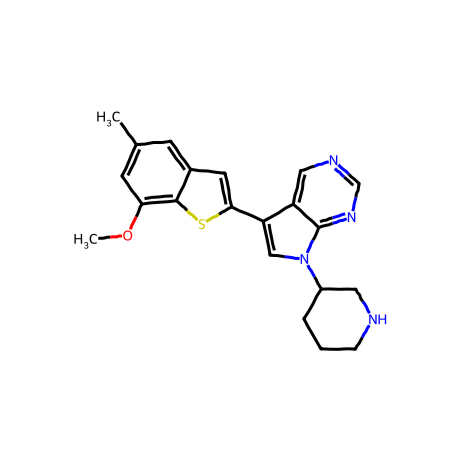 COc1cc(C)cc2cc(-c3cn(C4CCCNC4)c4ncncc34)sc12